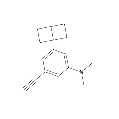 C#Cc1cccc(N(C)C)c1.C1CC2CCC12